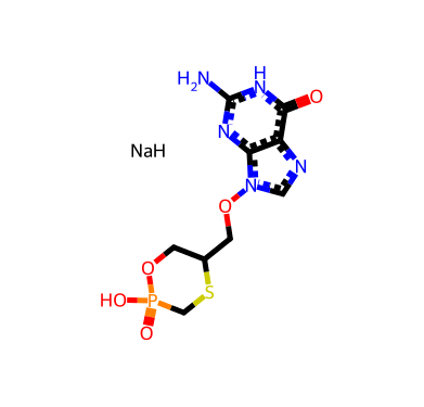 Nc1nc2c(ncn2OCC2COP(=O)(O)CS2)c(=O)[nH]1.[NaH]